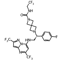 O=C(NCC(F)(F)F)N1CC2(C1)CN([C@H](CNc1cc(C(F)(F)F)nc3cc(C(F)(F)F)nn13)c1ccc(F)cc1)C2